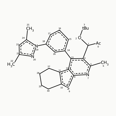 CC(=O)C(OC(C)(C)C)c1c(C)nc2sc3c(c2c1-c1cccc(-n2nc(C)cc2C)c1)CCCC3